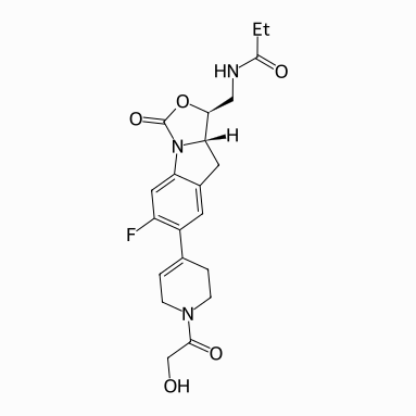 CCC(=O)NC[C@@H]1OC(=O)N2c3cc(F)c(C4=CCN(C(=O)CO)CC4)cc3C[C@@H]12